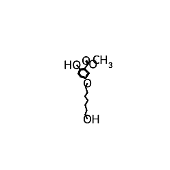 COC(=O)c1cc(OCCCCCCCO)ccc1O